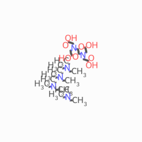 CCN(CC)CC.CCN(CC)CC.CCN(CC)CC.CCN(CC)CC.O=C(O)CN(CCN(CC(=O)O)CC(=O)O)CC(=O)O